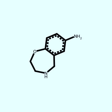 Nc1ccc2c(c1)CNCCO2